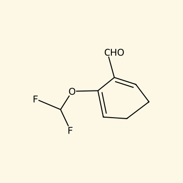 O=CC1=CCCC=C1OC(F)F